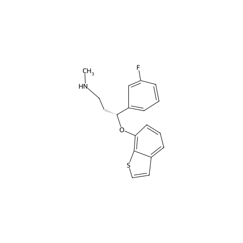 CNCC[C@@H](Oc1cccc2ccsc12)c1cccc(F)c1